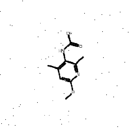 COc1cc(C)c(NC(=O)O)c(C)n1